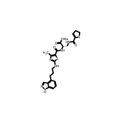 COC(=O)[C@H](CNC(=O)C1=CCCS1)NC(=O)c1sc(NCCCc2cccc3[nH]ncc23)nc1C